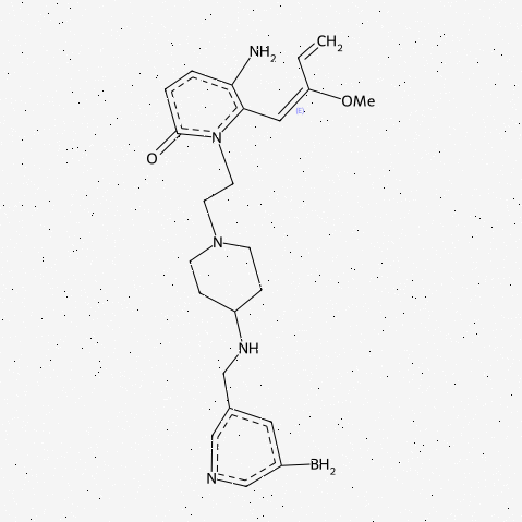 Bc1cncc(CNC2CCN(CCn3c(/C=C(\C=C)OC)c(N)ccc3=O)CC2)c1